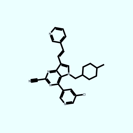 CC1CCC(Cn2cc(C=Cc3cccnc3)c3nc(C#N)nc(-c4cncc(Cl)c4)c32)CC1